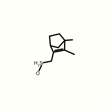 CC1=C(C[SiH2][O])C2CCC1(C)C2